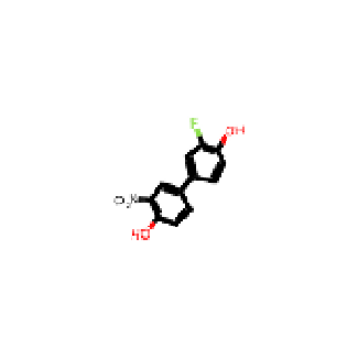 O=[N+]([O-])c1cc(-c2ccc(O)c(F)c2)ccc1O